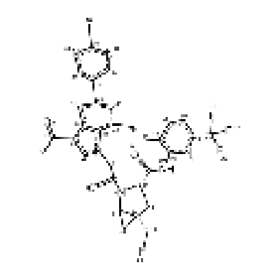 CC(=O)c1cn(CC(=O)N2C3C[C@]3(CF)C[C@H]2C(=O)Nc2nc(C(F)(F)F)ccc2C)c2c(C)cc(-c3cnc(C)nc3)cc12